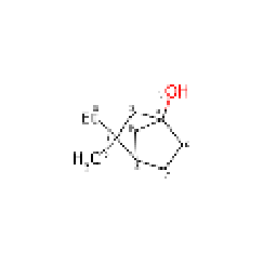 CCC1(C)CC2(O)CCC1C2